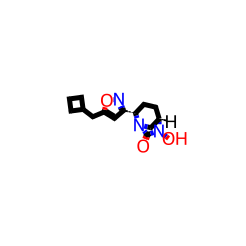 O=C1N(O)[C@@H]2CC[C@@H](c3cc(CC4CCC4)on3)N1C2